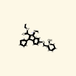 CCOC(=O)C1=C(c2ccccc2)c2ccc(OCC3=CC=CCN3O)cc2/C1=N\C